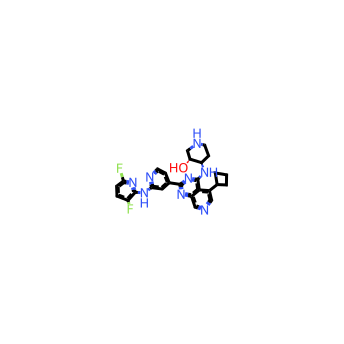 O[C@@H]1CNCC[C@H]1Nc1nc(-c2ccnc(Nc3nc(F)ccc3F)c2)nc2cncc(C3CCC3)c12